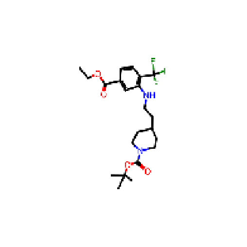 CCOC(=O)c1ccc(C(F)(F)F)c(NCCC2CCN(C(=O)OC(C)(C)C)CC2)c1